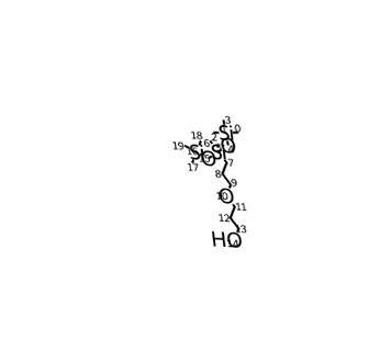 C[Si](C)(C)O[Si](C)(CCCOCCCO)O[Si](C)(C)C